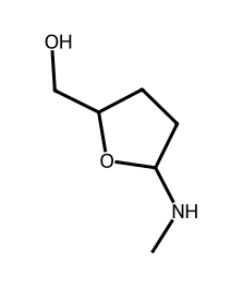 CNC1CCC(CO)O1